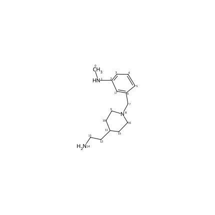 CNc1cccc(CN2CCC(CCN)CC2)c1